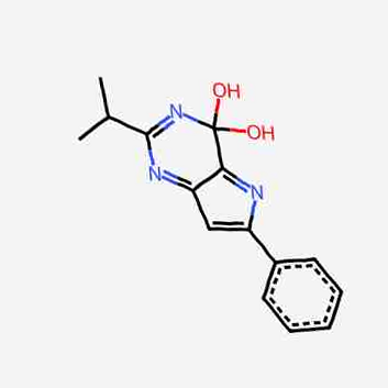 CC(C)C1=NC(O)(O)C2=NC(c3ccccc3)=CC2=N1